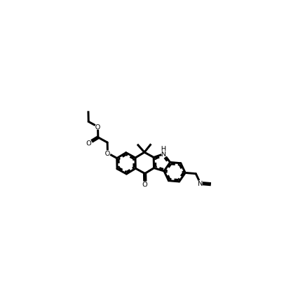 C=NCc1ccc2c3c([nH]c2c1)C(C)(C)c1cc(OCC(=O)OCC)ccc1C3=O